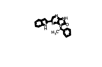 C[C@@H](c1ccccc1)n1c(=O)[nH]c2ncc(-c3cc4ccccc4[nH]3)nc21